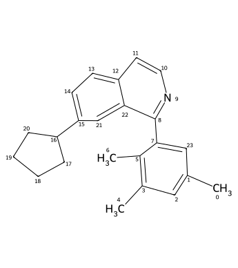 Cc1cc(C)c(C)c(-c2nccc3ccc(C4CCCC4)cc23)c1